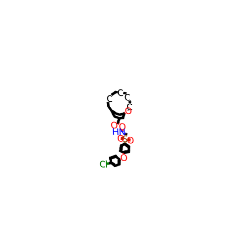 O=C(ONCS(=O)(=O)c1ccc(Oc2ccc(Cl)cc2)cc1)C1CC2CCCCCCCCCCOC(CC2)C1